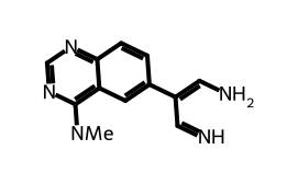 CNc1ncnc2ccc(/C(C=N)=C/N)cc12